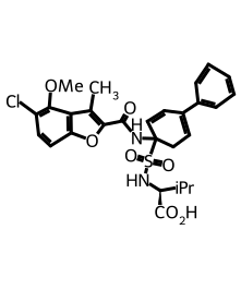 COc1c(Cl)ccc2oc(C(=O)NC3(S(=O)(=O)N[C@H](C(=O)O)C(C)C)C=CC(c4ccccc4)=CC3)c(C)c12